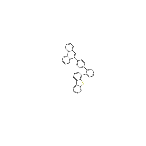 c1ccc(-c2cccc3c2sc2ccccc23)c(-c2ccc(-c3cc4ccccc4c4ccccc34)cc2)c1